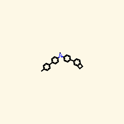 Cc1ccc(-c2ccc(N(C)c3ccc(-c4ccc5c(c4)CC5)cc3)cc2)cc1